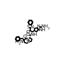 Nc1nc2c([nH]1)CC([C@H](NC(=O)[C@@H]1CCB3CC[C@@](N)(Cc4ccccc4)C(=O)N31)C(=O)c1nc3ccccc3s1)C2